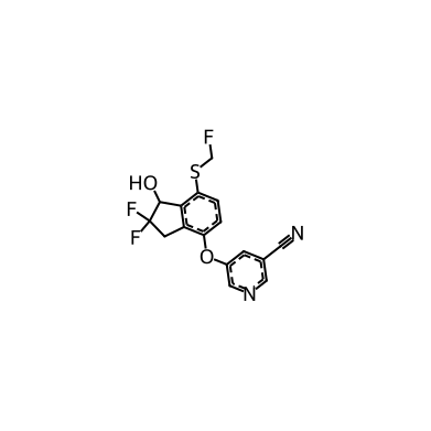 N#Cc1cncc(Oc2ccc(SCF)c3c2CC(F)(F)C3O)c1